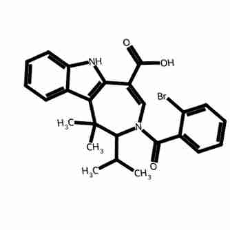 CC(C)C1N(C(=O)c2ccccc2Br)C=C(C(=O)O)c2[nH]c3ccccc3c2C1(C)C